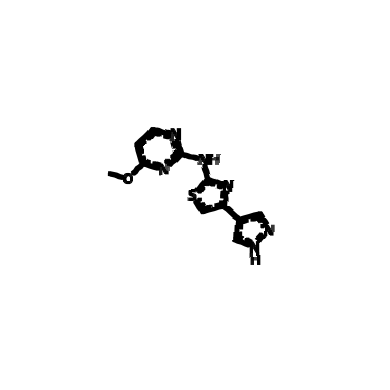 COc1ccnc(Nc2nc(-c3cn[nH]c3)cs2)n1